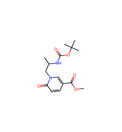 COC(=O)c1ccc(=O)n(CC(C)NC(=O)OC(C)(C)C)c1